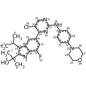 CC(C)n1c(C(C)(C)O)nc2c(F)cc(-c3nc(Nc4ccc(N5CCOCC5)cc4)ncc3Cl)cc21